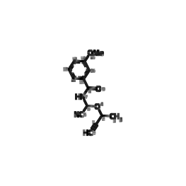 C#CC(C)OC(C#N)NC(=O)c1cccc(OC)c1